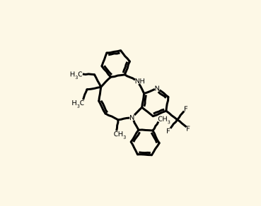 CCC1(CC)/C=C\C(C)N(c2ccccc2C)c2cc(C(F)(F)F)cnc2Nc2ccccc21